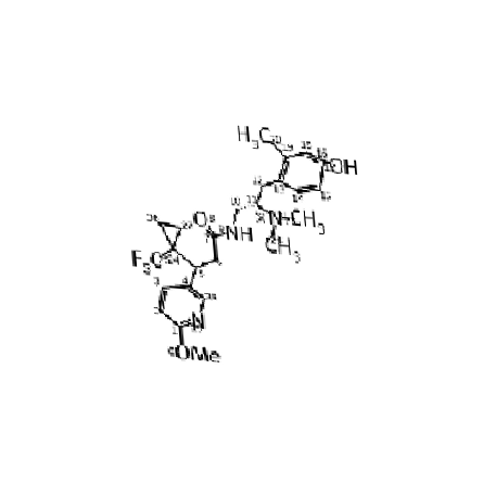 COc1ccc(C(CC(=O)NC[C@H](Cc2ccc(O)cc2C)N(C)C)C2(C(F)(F)F)CC2)cn1